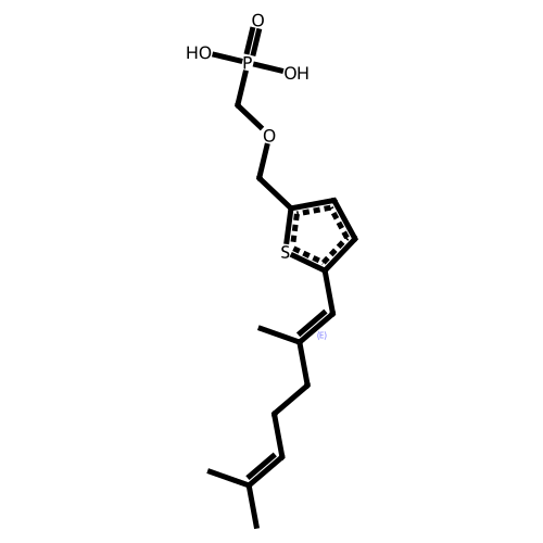 CC(C)=CCC/C(C)=C/c1ccc(COCP(=O)(O)O)s1